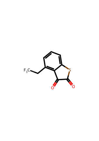 O=C1Sc2cccc(CC(F)(F)F)c2C1=O